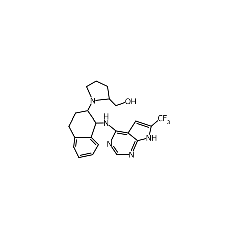 OCC1CCCN1C1CCc2ccccc2C1Nc1ncnc2[nH]c(C(F)(F)F)cc12